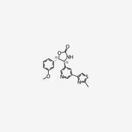 COc1cccc([C@@H]2OC(=O)N[C@H]2c2cncc(-c3csc(C)n3)c2)c1